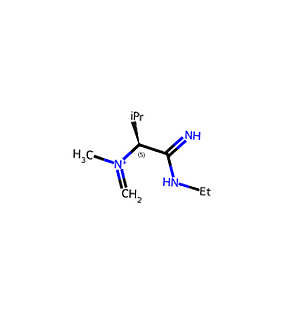 C=[N+](C)[C@H](C(=N)NCC)C(C)C